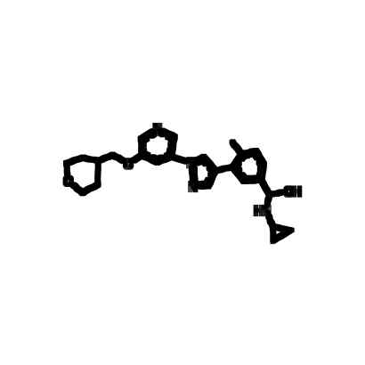 Cc1ccc(C(O)NC2CC2)cc1-c1cnn(-c2cncc(OCC3CCOCC3)c2)c1